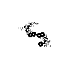 CCCN(Cc1nc2ccc3cc(-c4ccc5c(ccc6nc(CN(C(=O)CNC(=O)OC)C(C)C(C)C)[nH]c65)c4)ccc3c2[nH]1)C(=O)[C@H](NC=O)c1ccccc1